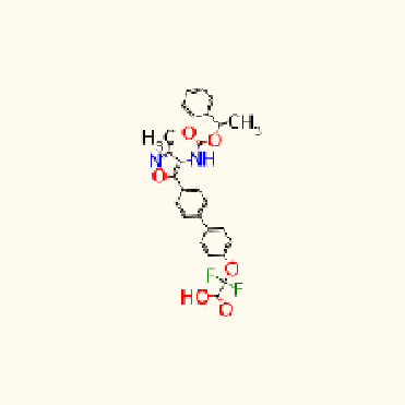 Cc1noc(-c2ccc(-c3ccc(OC(F)(F)C(=O)O)cc3)cc2)c1NC(=O)O[C@H](C)c1ccccc1